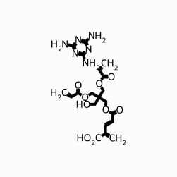 C=CC(=O)OCC(CO)(COC(=O)C=C)COC(=O)C=CC(=C)C(=O)O.Nc1nc(N)nc(N)n1